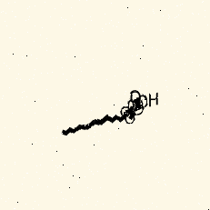 CCCCCCCCCCCCC1OCC(OS(=O)(=O)O)O1